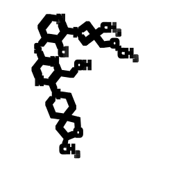 COCC1(C)CN(c2nccc(Sc3cnc(N4CCC5(CC4)CO[C@@H](C)C5)c(CO)n3)c2Cl)C1